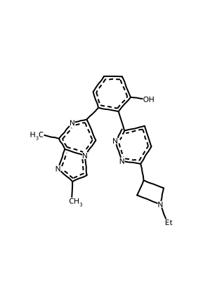 CCN1CC(c2ccc(-c3c(O)cccc3-c3cn4cc(C)nc4c(C)n3)nn2)C1